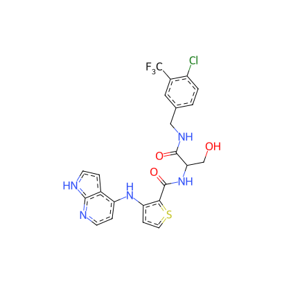 O=C(NC(CO)C(=O)NCc1ccc(Cl)c(C(F)(F)F)c1)c1sccc1Nc1ccnc2[nH]ccc12